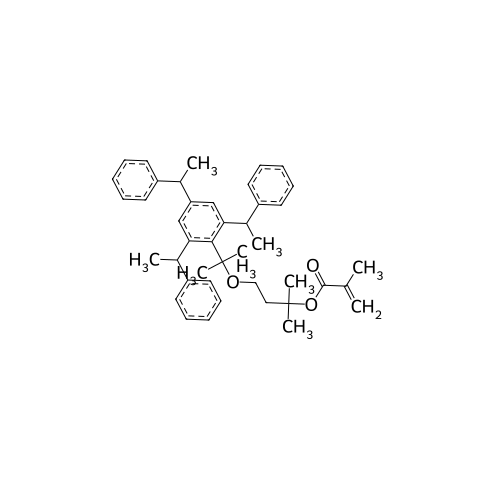 C=C(C)C(=O)OC(C)(C)CCOC(C)(C)c1c(C(C)c2ccccc2)cc(C(C)c2ccccc2)cc1C(C)c1ccccc1